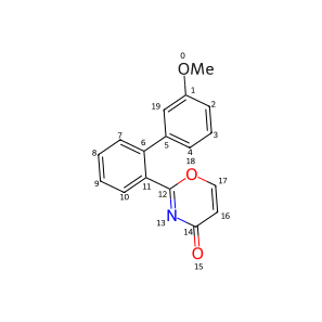 COc1cccc(-c2ccccc2-c2nc(=O)cco2)c1